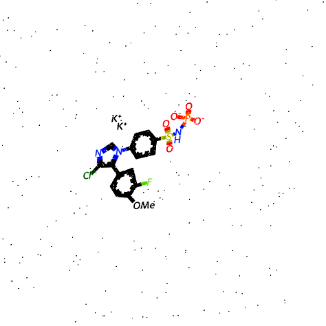 COc1ccc(-c2c(Cl)ncn2-c2ccc(S(=O)(=O)NP(=O)([O-])[O-])cc2)cc1F.[K+].[K+]